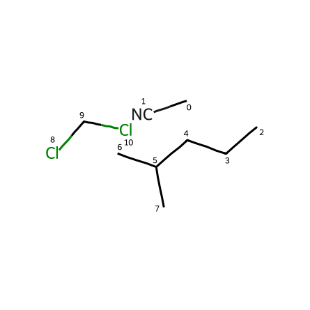 CC#N.CCCC(C)C.ClCCl